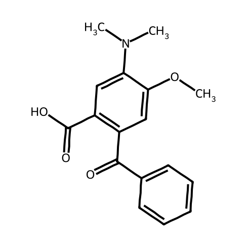 COc1cc(C(=O)c2ccccc2)c(C(=O)O)cc1N(C)C